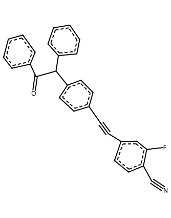 N#Cc1ccc(C#Cc2ccc(C(C(=O)c3ccccc3)c3ccccc3)cc2)cc1F